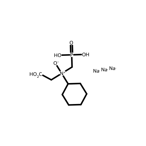 O=C(O)C[N+]([O-])(CP(=O)(O)O)C1CCCCC1.[Na].[Na].[Na]